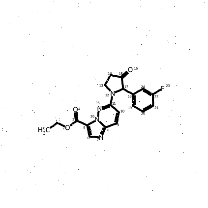 CCOC(=O)c1cnc2ccc(N3CCC(=O)C3c3cccc(F)c3)nn12